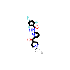 CCN1CCC(C(=O)c2cccc(NC(=O)c3c(F)cc(F)cc3F)n2)CC1